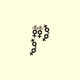 CC(C)(C)c1ccc(S(=O)(=O)[O-])cc1.CC(C)(C)c1ccc(S(=O)(=O)[O-])cc1.CC(C)(C)c1ccc([I+]c2ccc(C(C)(C)C)cc2)cc1.CC(C)(C)c1ccc([I+]c2ccc(C(C)(C)C)cc2)cc1